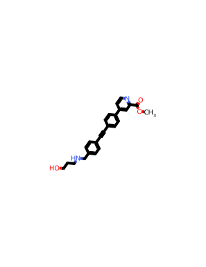 COC(=O)c1cc(-c2ccc(C#Cc3ccc(CNCCCO)cc3)cc2)ccn1